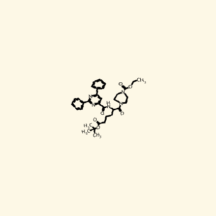 CCOC(=O)N1CCN(C(=O)C(CCCC(=O)OC(C)(C)C)NC(=O)c2cc(-c3ccccc3)nc(-c3ccccc3)n2)CC1